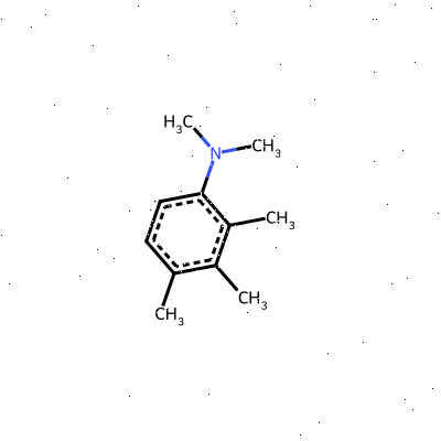 Cc1c[c]c(N(C)C)c(C)c1C